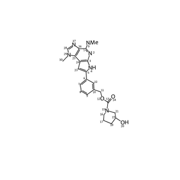 CNc1nc2[nH]c(-c3cccc(COC(=O)N4CCCC(O)C4)c3)cc2c2c1ncn2C